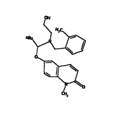 CCCCC(Oc1ccc2c(ccc(=O)n2C)c1)N(CCO)Cc1ccccc1C